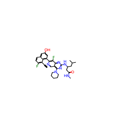 C#Cc1c(F)ccc2cc(O)cc(-c3ncc4c(N5CCCCC5)nc(NC(CC(=O)NC)CC(C)C)nc4c3F)c12